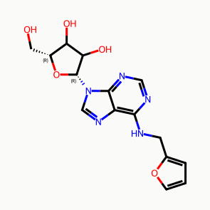 OC[C@H]1O[C@@H](n2cnc3c(NCc4ccco4)ncnc32)C(O)C1O